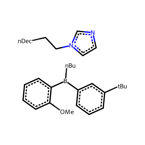 CCCCB(c1cccc(C(C)(C)C)c1)c1ccccc1OC.CCCCCCCCCCCCn1ccnc1